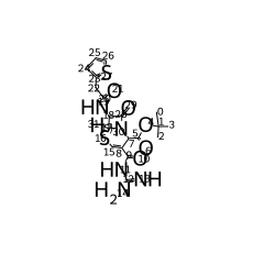 CC(C)(C)OC(=O)C1C(C(=O)NC(=N)N)=CS[C@H]2C(NC(=O)Cc3cccs3)C(=O)N12